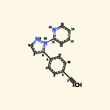 C#Cc1ccc(-c2ccnn2-c2ccccn2)cc1